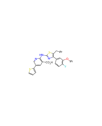 CC(C)Cc1sc(Nc2ncc(-c3cccs3)cc2C(=O)O)nc1-c1ccc(F)c(OC(C)C)c1